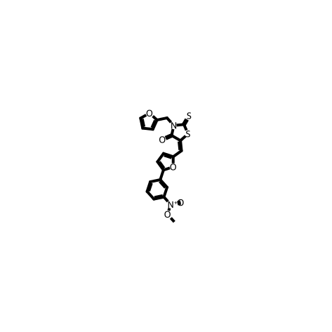 CO[N+](=O)c1cccc(-c2ccc(/C=C3/SC(=S)N(Cc4ccco4)C3=O)o2)c1